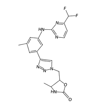 Cc1cc(Nc2nccc(C(F)F)n2)cc(-c2cn(CC3OC(=O)NC3C)nn2)c1